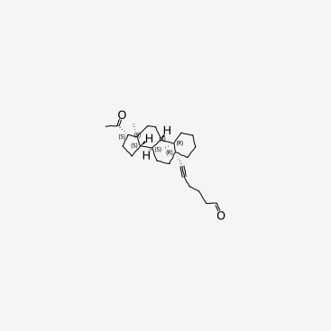 CC(=O)[C@H]1CC[C@H]2[C@@H]3CC[C@]4(C#CCCCC=O)CCCC[C@]4(C)[C@H]3CC[C@]12C